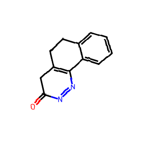 O=C1CC2=C(N=N1)c1ccccc1CC2